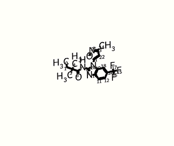 CCC(C)(C)C(=O)Nc1nc2ccc(C(F)(F)F)cc2n1-c1cc(C)no1